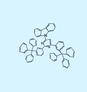 c1ccc(C(c2ccccc2)(c2ccccc2)c2cccc(-c3cc(-n4c5ccccc5c5ccccc54)nc(-c4cccc(C(c5ccccc5)(c5ccccc5)c5ccccc5)c4)n3)c2)cc1